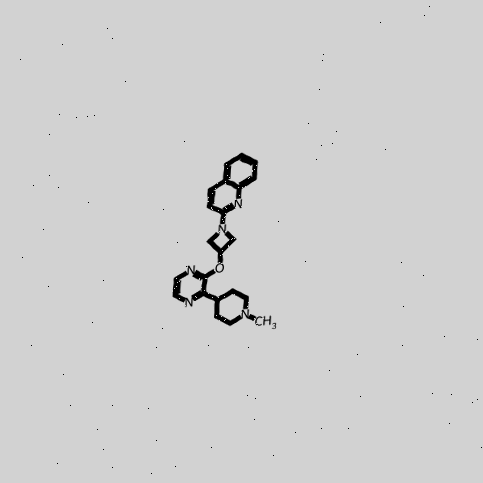 CN1CCC(c2nccnc2OC2CN(c3ccc4ccccc4n3)C2)CC1